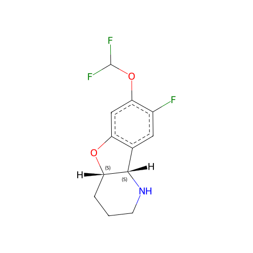 Fc1cc2c(cc1OC(F)F)O[C@H]1CCCN[C@@H]21